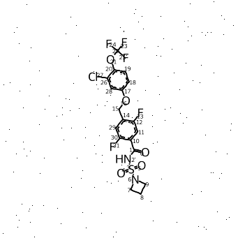 O=C(NS(=O)(=O)N1CCC1)c1cc(F)c(COc2ccc(OC(F)(F)F)c(Cl)c2)cc1F